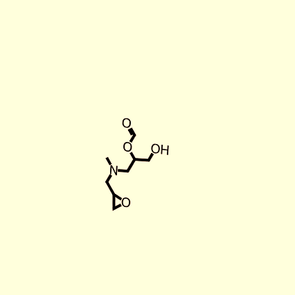 CN(CC(CO)OC=O)CC1CO1